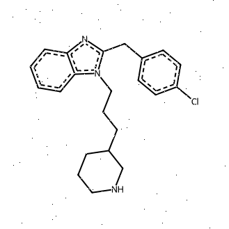 Clc1ccc(Cc2nc3ccccc3n2CCCC2CCCNC2)cc1